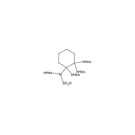 CCCCCCN(C1(CCCCCC)CCCCC1(CCCCCC)CCCCCC)S(=O)(=O)O